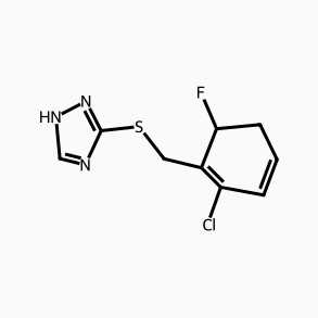 FC1CC=CC(Cl)=C1CSc1nc[nH]n1